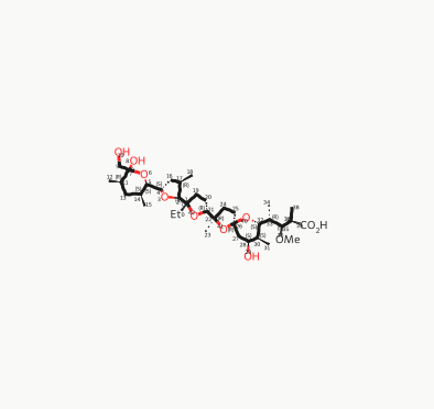 CC[C@@]1([C@H]2O[C@H]([C@H]3O[C@@](O)(CO)[C@H](C)C[C@@H]3C)C[C@H]2C)CC[C@H]([C@@]2(C)CC[C@]3(C[C@H](O)[C@H](C)[C@@H]([C@H](C)[C@H](OC)[C@@H](C)C(=O)O)O3)O2)O1